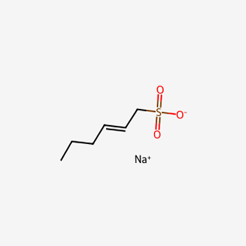 CCCC=CCS(=O)(=O)[O-].[Na+]